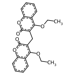 CCOc1c(Cc2c(OCC)c3ccccc3oc2=O)c(=O)oc2ccccc12